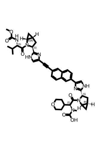 COC(=O)N[C@H](C(=O)N1[C@@H]2C[C@@H]2C[C@H]1c1nc(C#Cc2ccc3cc(-c4c[nH]c([C@@H]5C[C@H]6C[C@H]6N5C(=O)[C@H](C5CCOCC5)N(C)C(=O)O)n4)ccc3c2)c[nH]1)C(C)C